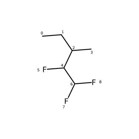 CCC(C)C(F)C(F)F